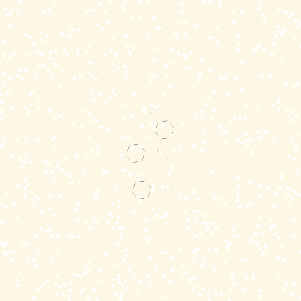 O=C(c1cccc(C(F)(F)F)c1)c1ccccc1Sc1ccccc1